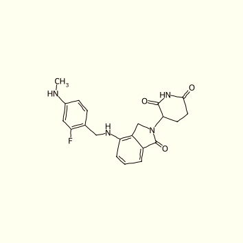 CNc1ccc(CNc2cccc3c2CN(C2CCC(=O)NC2=O)C3=O)c(F)c1